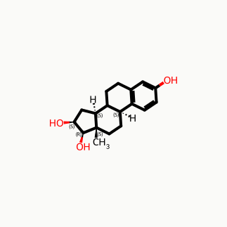 C[C@]12CC[C@@H]3c4ccc(O)cc4CCC3[C@@H]1C[C@H](O)[C@@H]2O